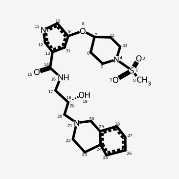 CS(=O)(=O)N1CCC(Oc2cncc(C(=O)NC[C@H](O)CN3CCc4ccccc4C3)c2)CC1